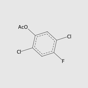 CC(=O)Oc1cc(Cl)c(F)cc1Cl